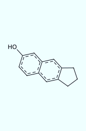 Oc1ccc2cc3c(cc2c1)CCC3